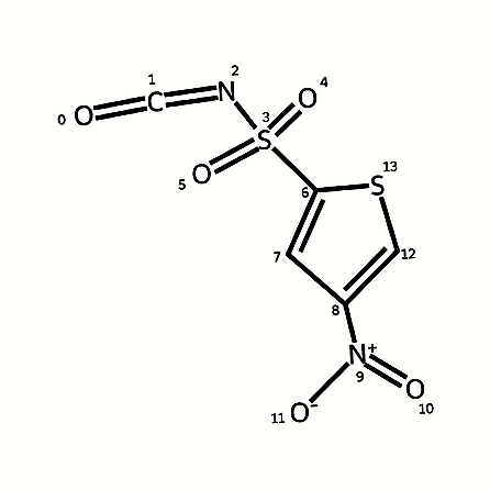 O=C=NS(=O)(=O)c1cc([N+](=O)[O-])cs1